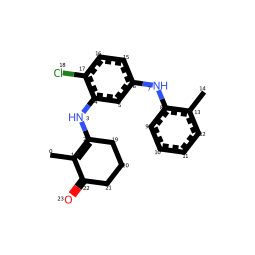 CC1=C(Nc2cc(Nc3ccccc3C)ccc2Cl)CCCC1=O